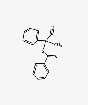 CC(C#N)(SC(=S)c1ccccc1)c1ccccc1